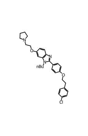 CCCCn1c(-c2ccc(OCCc3ccc(Cl)cc3)cc2)nc2ccc(OCCN3CCCC3)cc21